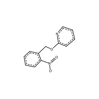 O=[N+]([O-])c1ccccc1COc1ccccn1